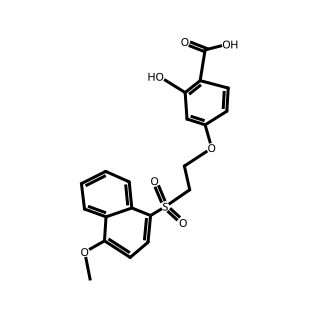 COc1ccc(S(=O)(=O)CCOc2ccc(C(=O)O)c(O)c2)c2ccccc12